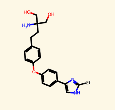 CCc1nc(-c2ccc(Oc3ccc(CCC(N)(CO)CO)cc3)cc2)c[nH]1